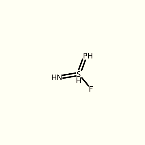 N=[SH](F)=P